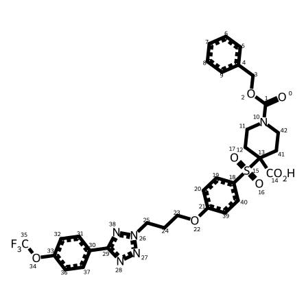 O=C(OCc1ccccc1)N1CCC(C(=O)O)(S(=O)(=O)c2ccc(OCCCn3nnc(-c4ccc(OC(F)(F)F)cc4)n3)cc2)CC1